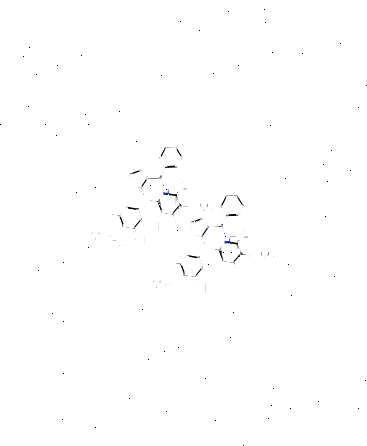 COc1c(C)cc(P(c2cc(C)c(OC)c(C)c2)c2[cH-]ccc2[C@@H](c2ccccc2)N(C)C)cc1C.COc1c(C)cc(P(c2cc(C)c(OC)c(C)c2)c2[cH-]ccc2[C@@H](c2ccccc2)N(C)C)cc1C.[Fe+2]